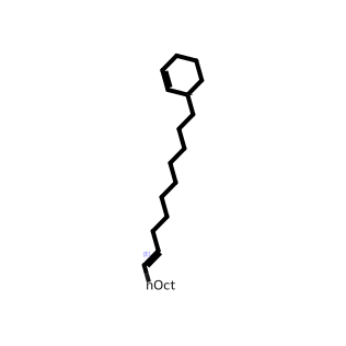 CCCCCCCC/C=C/CCCCCCCC[C]1C=CCCC1